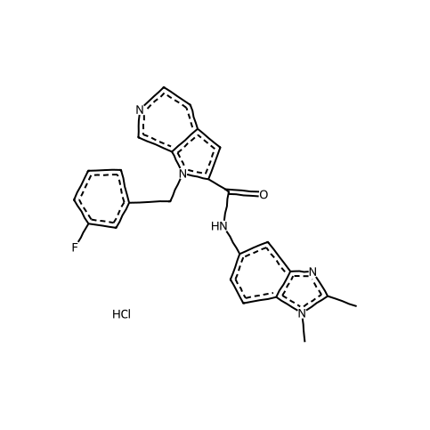 Cc1nc2cc(NC(=O)c3cc4ccncc4n3Cc3cccc(F)c3)ccc2n1C.Cl